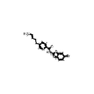 CCCCCc1ccc(C(=O)Nc2nc3ccc(Br)cc3s2)nc1